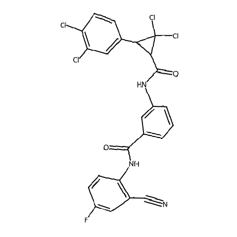 N#Cc1cc(F)ccc1NC(=O)c1cccc(NC(=O)C2C(c3ccc(Cl)c(Cl)c3)C2(Cl)Cl)c1